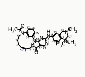 CC(=O)N1CCC/C=C\Cn2c(=O)c3cnc(Nc4ccc5c(c4)CN(C)CC5(C)C)nc3n2-c2cccc1c2